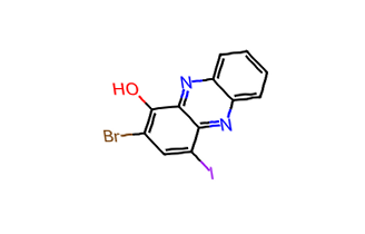 Oc1c(Br)cc(I)c2nc3ccccc3nc12